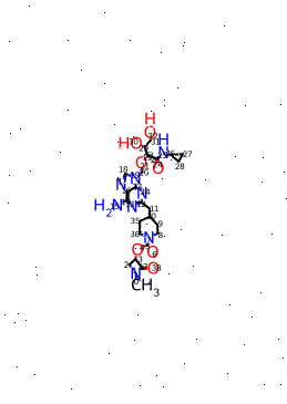 CN1CC(OC(=O)N2CCC(Cc3nc(N)c4ncn(CO[C@H](C(=O)NC5CC5)C(O)CO)c4n3)CC2)C1=O